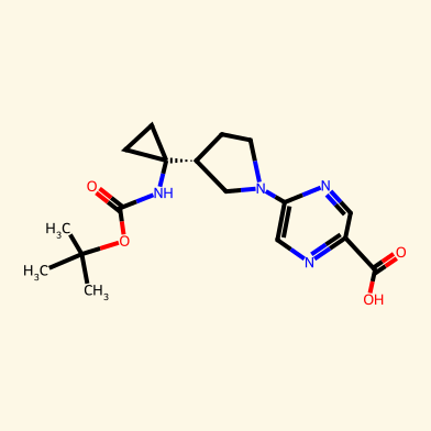 CC(C)(C)OC(=O)NC1([C@@H]2CCN(c3cnc(C(=O)O)cn3)C2)CC1